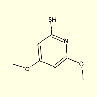 COc1cc(S)nc(OC)c1